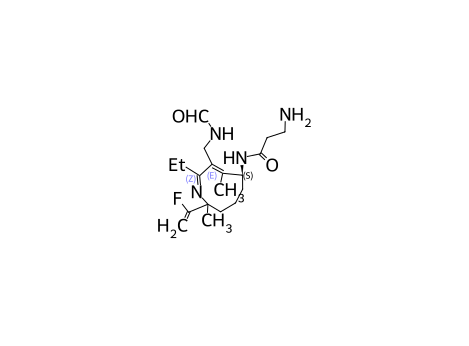 C=C(F)C1(C)CCC[C@H](NC(=O)CCN)/C(C)=C(CNC=O)/C(CC)=N\1